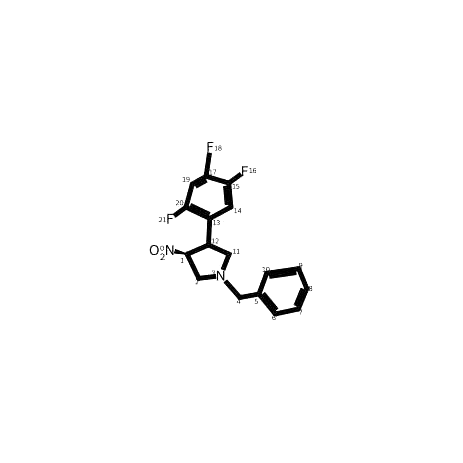 O=[N+]([O-])[C@@H]1CN(Cc2ccccc2)CC1c1cc(F)c(F)cc1F